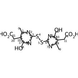 Cc1nc(SSc2nc(C)c(CC(=O)O)c(O)n2)nc(O)c1CC(=O)O